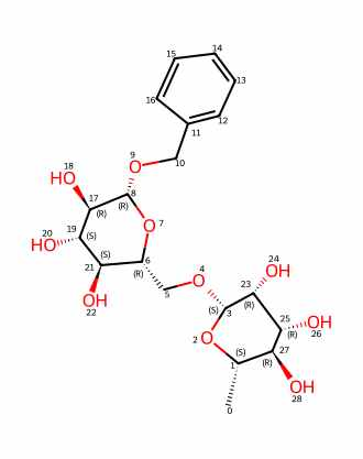 C[C@@H]1O[C@H](OC[C@H]2O[C@@H](OCc3ccccc3)[C@H](O)[C@@H](O)[C@@H]2O)[C@H](O)[C@H](O)[C@H]1O